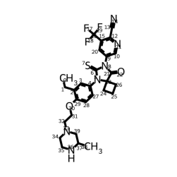 CCc1cc(N2C(=S)N(c3cnc(C#N)c(C(F)(F)F)c3)C(=O)C23CCC3)ccc1OCCN1CCNC(C)C1